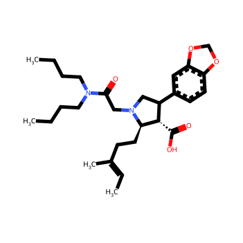 CC=C(C)CC[C@@H]1[C@@H](C(=O)O)C(c2ccc3c(c2)OCO3)CN1CC(=O)N(CCCC)CCCC